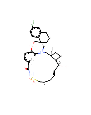 C[C@@H]1[C@@H](C)C/C=C/[C@H](O)[C@@H]2CC[C@H]2CN2C[C@@]3(CCCc4cc(Cl)ccc43)COc3ccc(cc32)C(=O)NS1(=O)=O